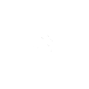 O=C(c1ccccc1)c1nnnn1S